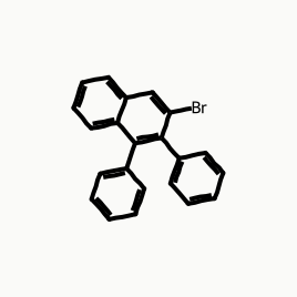 Brc1cc2ccccc2c(-c2ccccc2)c1-c1ccccc1